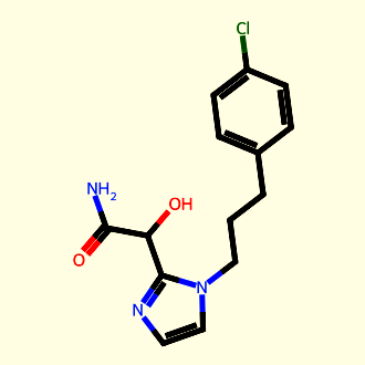 NC(=O)C(O)c1nccn1CCCc1ccc(Cl)cc1